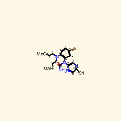 COCCN(CCOC)c1ccc(Br)cc1N(C(N)=O)c1cnc(C#N)cn1